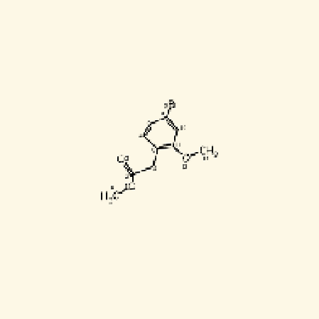 COC(=O)Cc1ccc(Br)cc1OC